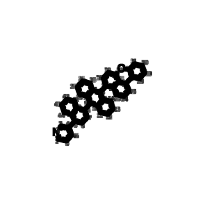 c1cncc(-c2ccc(-c3c4ccccc4c(-c4ccc5c6c(cccc46)-c4ccccc4O5)c4ccccc34)c3ccccc23)c1